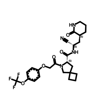 N#C[C@H](C[C@@H]1CCCNC1=O)NC(=O)[C@@H]1CC2(CCC2)CN1C(=O)COc1ccc(OC(F)(F)F)cc1